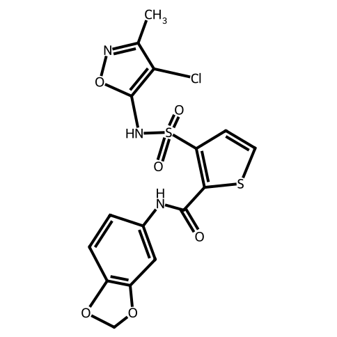 Cc1noc(NS(=O)(=O)c2ccsc2C(=O)Nc2ccc3c(c2)OCO3)c1Cl